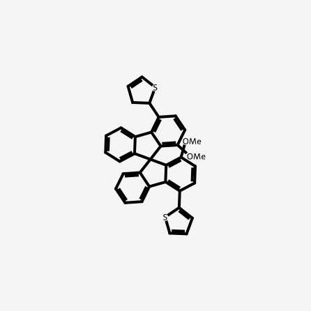 COc1ccc(-c2cccs2)c2c1C1(c3ccccc3-2)c2ccccc2-c2c(C3CC=CS3)ccc(OC)c21